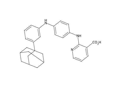 O=C(O)c1cccnc1Nc1ccc(Nc2cccc(C34CC5CC(CC(C5)C3)C4)c2)cc1